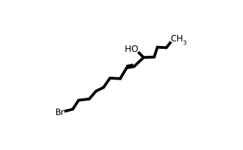 CCCCC(O)C=CCCCCCCCBr